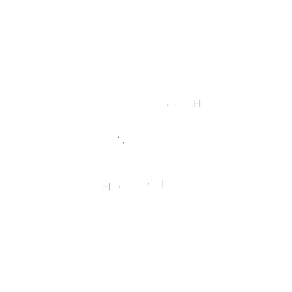 COc1ccc(OC)c(N2CCCCC2CO)c1